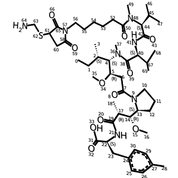 CC[C@H](C)[C@@H]([C@@H](CC(=O)N1CCC[C@H]1[C@H](OC)[C@@H](C)C(=O)N[C@@H](Cc1ccc(C)cc1)C(=O)O)OC)N(C)C(=O)[C@@H](NC(=O)[C@H](C(C)C)N(C)C(=O)CCCCCN1C(=O)CC(SCN)C1=O)C(C)C